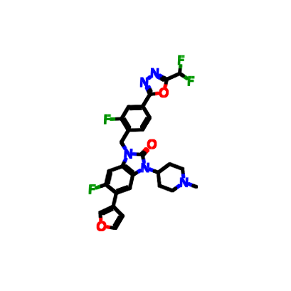 CN1CCC(n2c(=O)n(Cc3ccc(-c4nnc(C(F)F)o4)cc3F)c3cc(F)c(-c4ccoc4)cc32)CC1